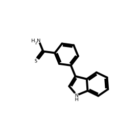 NC(=S)c1cccc(-c2c[nH]c3ccccc23)c1